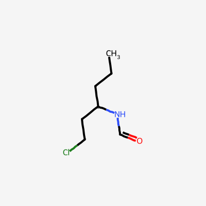 CCC[C](CCCl)NC=O